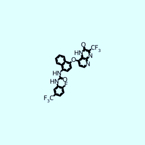 O=C(Nc1cc(C(F)(F)F)ccc1F)Nc1ccc(Oc2ccnc3nc(C(F)(F)F)c(=O)[nH]c23)c2ccccc12